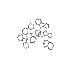 c1ccc([Si]2(c3ccccc3)c3ccccc3C3(c4ccccc4-c4c(-n5c6ccccc6c6cccc(-n7c8ccccc8c8c(-c9cccc%10ccccc9%10)cccc87)c65)cccc43)c3ccccc32)cc1